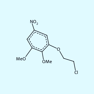 COc1cc([N+](=O)[O-])cc(OCCCl)c1OC